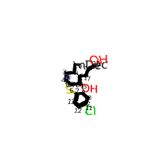 CCCCCCCCCCCC/C=C\[C@@H](Sc1ccc(Cl)cc1)[C@@H](O)CCCCO